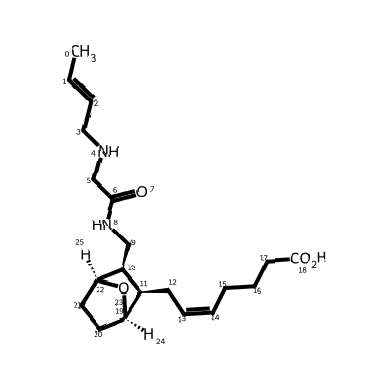 CC=CCNCC(=O)NC[C@H]1[C@@H](C/C=C\CCCC(=O)O)[C@H]2CC[C@@H]1O2